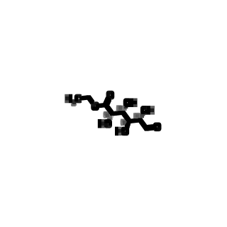 CCOC(=O)[C@@H](O)[C@H](O)[C@H](O)[C@H](O)C=O